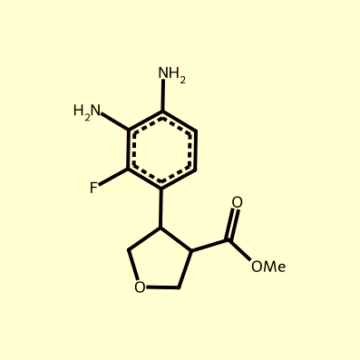 COC(=O)C1COCC1c1ccc(N)c(N)c1F